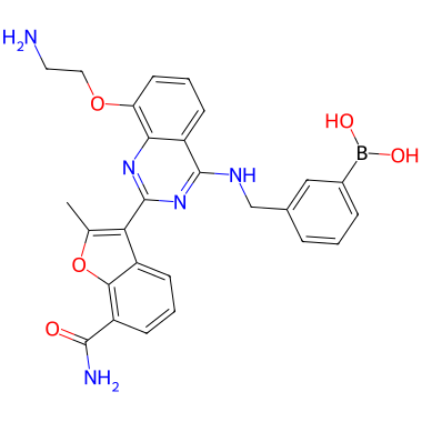 Cc1oc2c(C(N)=O)cccc2c1-c1nc(NCc2cccc(B(O)O)c2)c2cccc(OCCN)c2n1